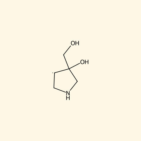 OCC1(O)[CH]CNC1